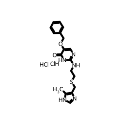 Cc1[nH]cnc1CSCCNc1ncc(OCc2ccccc2)c(=O)[nH]1.Cl.Cl